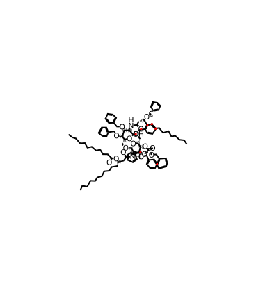 CCCCCCCCCCCC(=O)O[C@H](CCCCCCCCCCC)CC(=O)N[C@H]1[C@H](OC[C@H]2OC(O)[C@H](NC(=O)C[C@@H](CCCCCCCCCCC)OCc3ccccc3)[C@@H](OCc3ccccc3)[C@@H]2OCc2ccccc2)O[C@H](COCc2ccccc2)[C@@H](OP(=O)(OCc2ccccc2)OCc2ccccc2)[C@@H]1OCc1ccccc1